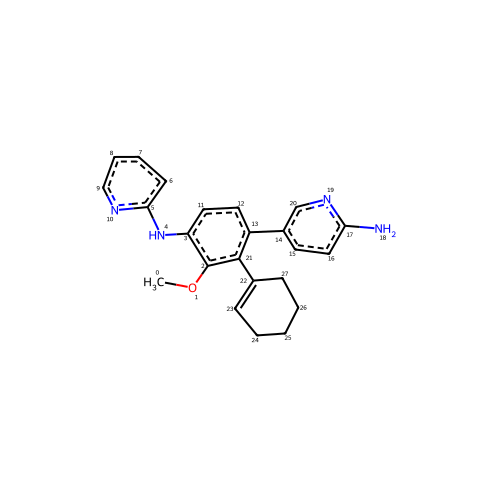 COc1c(Nc2ccccn2)ccc(-c2ccc(N)nc2)c1C1=CCCCC1